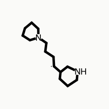 [CH](CCCN1CCCCC1)C1CCCNC1